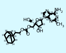 C#C[C@]1(COC(=O)OCCC23CC4CC(CC(C4)C2)C3)O[C@@H](n2cnc3c(N)nc(C)nc32)C[C@@H]1O